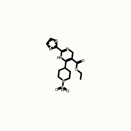 CCOC(=O)C1=C(C2CCN([SH](=O)=O)CC2)NC(c2nccs2)=NC1